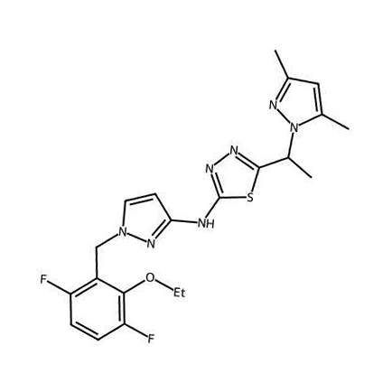 CCOc1c(F)ccc(F)c1Cn1ccc(Nc2nnc(C(C)n3nc(C)cc3C)s2)n1